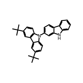 CC(C)(C)c1ccc2c(c1)c1cc(C(C)(C)C)ccc1n2-c1ccc2c(c1)[nH]c1ccccc12